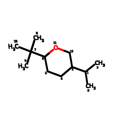 CC(C)C1CCC(C(C)(C)C)OC1